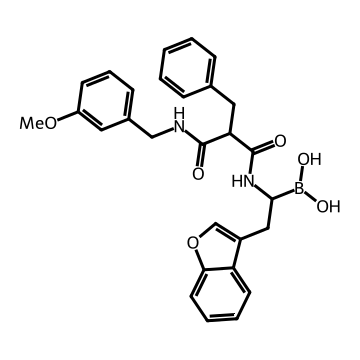 COc1cccc(CNC(=O)C(Cc2ccccc2)C(=O)NC(Cc2coc3ccccc23)B(O)O)c1